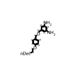 CCCCCCCCCCCCOc1ccc(COCc2cc(N)cc(N)c2)cc1